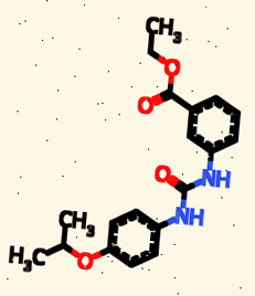 CCOC(=O)c1cccc(NC(=O)Nc2ccc(OC(C)C)cc2)c1